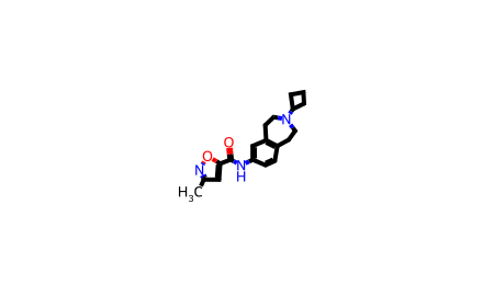 Cc1cc(C(=O)Nc2ccc3c(c2)CCN(C2CCC2)CC3)on1